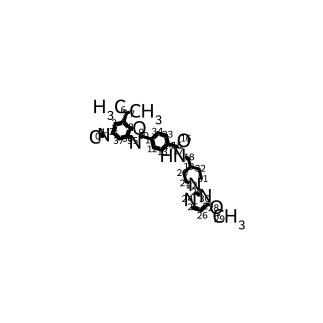 [C-]#[N+]c1cc(C(C)C)c2oc(-c3ccc(C(=O)NCC4CCN(c5nccc(OC)n5)CC4)cc3)nc2c1